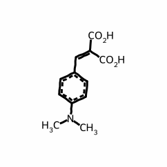 CN(C)c1ccc(C=C(C(=O)O)C(=O)O)cc1